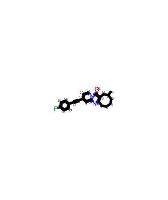 CC1CCCCc2nc3cc(C#Cc4ccc(F)cc4)ccn3c(=O)c2C1